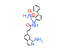 Nc1nccc2ccc(C=CC(=O)NN3CCc4c(-c5ccccc5S(N)(=O)=O)cccc43)cc12